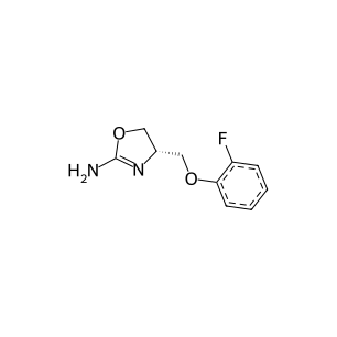 NC1=N[C@@H](COc2ccccc2F)CO1